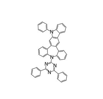 c1ccc(-c2nc(-c3ccccc3)nc(N3c4ccccc4-c4cc5c6ccccc6n(-c6ccccc6)c5cc4-c4ccccc43)n2)cc1